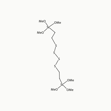 CO[Si](CCSSSSCC[Si](OC)(OC)OC)(OC)OC